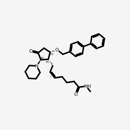 CNC(=O)CCC/C=C\C[C@H]1[C@@H](OCc2ccc(-c3ccccc3)cc2)CC(=O)[C@@H]1N1CCCCC1